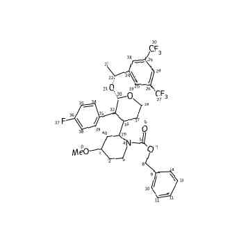 COC1CCN(C(=O)OCc2ccccc2)C(C2CCOC(OC(C)c3cc(C(F)(F)F)cc(C(F)(F)F)c3)C2c2ccc(F)cc2)C1